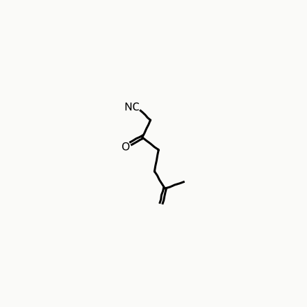 C=C(C)CCC(=O)CC#N